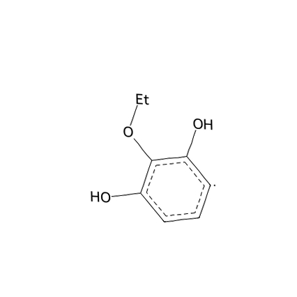 CCOc1c(O)[c]ccc1O